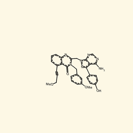 COCC#Cc1cccc2nc(Cn3nc(-c4ccc(O)cc4)c4c(N)ncnc43)n(Cc3cccc(OC)c3)c(=O)c12